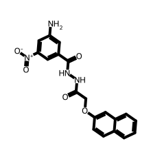 Nc1cc(C(=O)NNC(=O)COc2ccc3ccccc3c2)cc([N+](=O)[O-])c1